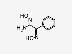 NC(=NO)C(=NO)c1ccccc1